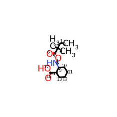 CCC(C)(C)C(=O)ONC1CCCCC1C(=O)O